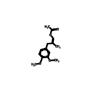 COc1ccc(C/C(C)=C\OC(C)=O)cc1OC